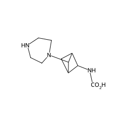 O=C(O)NC1C2CC1C2N1CCNCC1